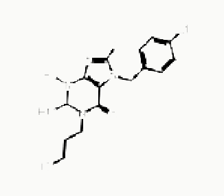 CCN1c2nc(Cl)n(Cc3ccc(Cl)cc3)c2C(=O)N(CCCO)C1O